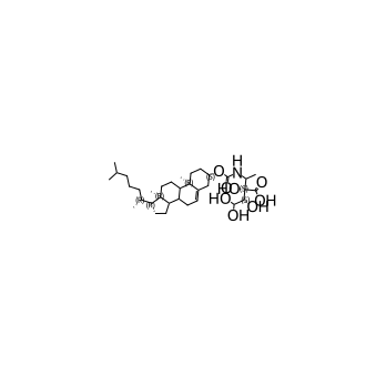 CC(C)CCC[C@@H](C)[C@H]1CCC2C3CC=C4C[C@@H](OC(=O)NC(C)[C@@](O)(C(=O)O)[C@H](O)C(O)O)CC[C@]4(C)C3CC[C@@]21C